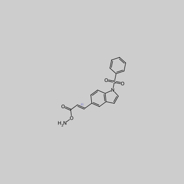 NOC(=O)/C=C/c1ccc2c(ccn2S(=O)(=O)c2ccccc2)c1